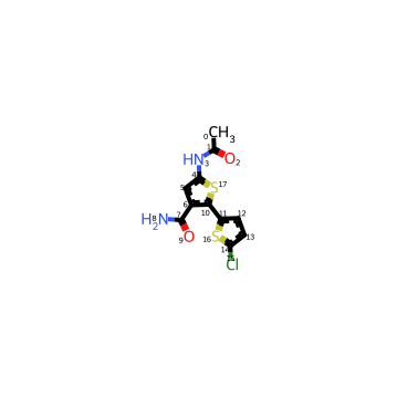 CC(=O)Nc1cc(C(N)=O)c(-c2ccc(Cl)s2)s1